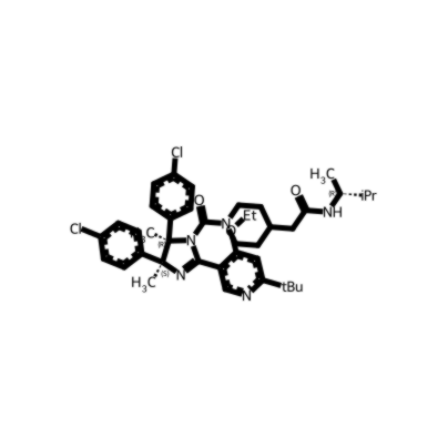 CCOc1cc(C(C)(C)C)ncc1C1=N[C@@](C)(c2ccc(Cl)cc2)[C@@](C)(c2ccc(Cl)cc2)N1C(=O)N1CCC(CC(=O)N[C@H](C)C(C)C)CC1